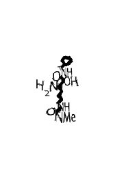 CNC(=O)NCCCC[C@H](N)C(O)C(=O)N[C@H](C)c1ccccc1